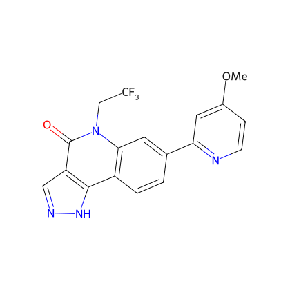 COc1ccnc(-c2ccc3c4[nH]ncc4c(=O)n(CC(F)(F)F)c3c2)c1